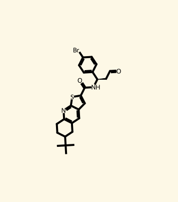 CC(C)(C)C1CCc2nc3sc(C(=O)N[C@H](CC=O)c4ccc(Br)cc4)cc3cc2C1